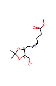 COC(=O)CC/C=C\C[C@@H]1OC(C)(C)O[C@@H]1CO